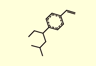 C=Cc1ccc(C(CC)CC(C)C)cc1